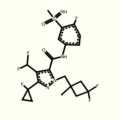 CC1(Cn2nc(C3(F)CC3)c(C(F)F)c2C(=O)Nc2ccc(F)c(S(C)(=N)=O)c2)CC(F)(F)C1